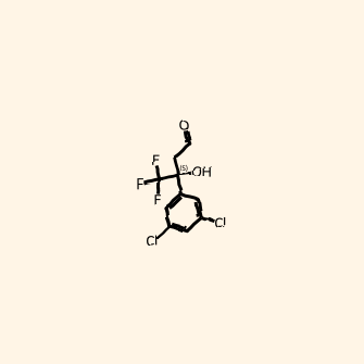 O=CC[C@](O)(c1cc(Cl)cc(Cl)c1)C(F)(F)F